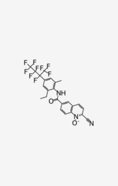 CCc1cc(C(F)(C(F)(F)F)C(F)(F)C(F)(F)F)cc(C)c1NC(=O)c1ccc2c(ccc(C#N)[n+]2[O-])c1